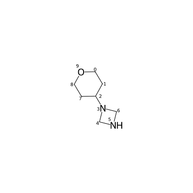 C1CC(N2CNC2)CCO1